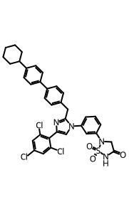 O=C1CN(c2cccc(-n3cc(-c4c(Cl)cc(Cl)cc4Cl)nc3Cc3ccc(-c4ccc(C5CCCCC5)cc4)cc3)c2)S(=O)(=O)N1